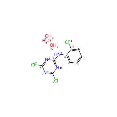 Clc1nc(Cl)nc(Nc2ccccc2Cl)n1.O.O.O